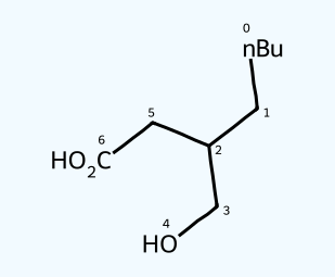 CCCCCC(CO)CC(=O)O